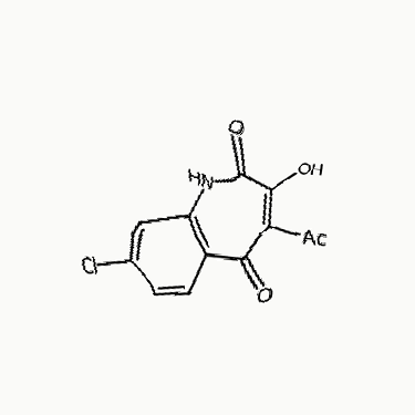 CC(=O)c1c(O)c(=O)[nH]c2cc(Cl)ccc2c1=O